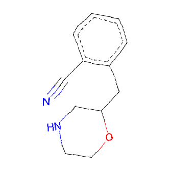 N#Cc1ccccc1CC1CNCCO1